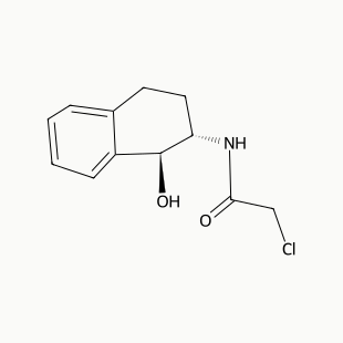 O=C(CCl)N[C@H]1CCc2ccccc2[C@@H]1O